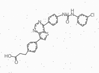 O=C(O)CCc1ccc(-c2csc3c(-c4ccc(NC(=O)Nc5cccc(Cl)c5)cc4)ncnc23)cc1